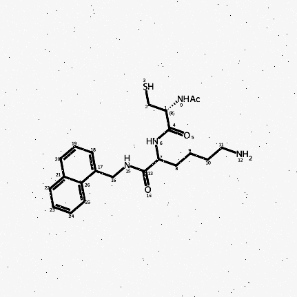 CC(=O)N[C@@H](CS)C(=O)NC(CCCCN)C(=O)NCc1cccc2ccccc12